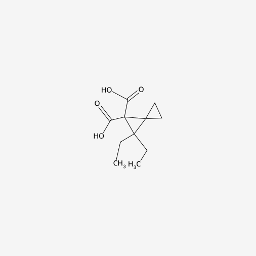 CCC1(CC)C2(CC2)C1(C(=O)O)C(=O)O